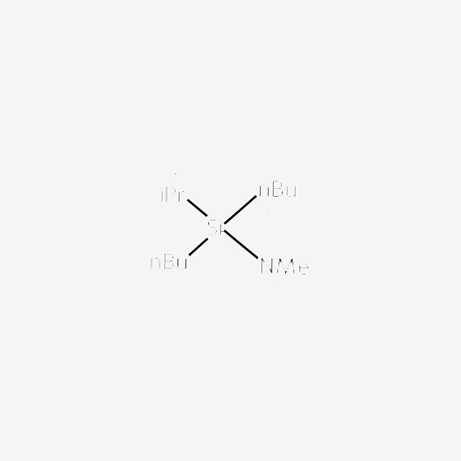 CCCC[Si](CCCC)(NC)C(C)C